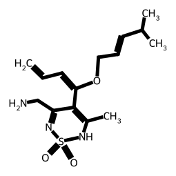 C=C/C=C(/OC/C=C/C(C)C)C1=C(C)NS(=O)(=O)N=C1CN